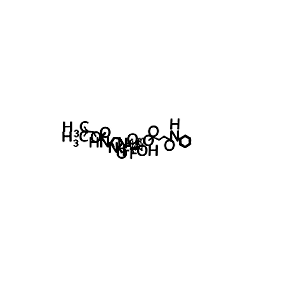 CC(C)COC(=O)Nc1ccn([C@@H]2O[C@H](COC(=O)CCC(=O)Nc3ccccc3)[C@@H](O)C2(F)F)c(=O)n1